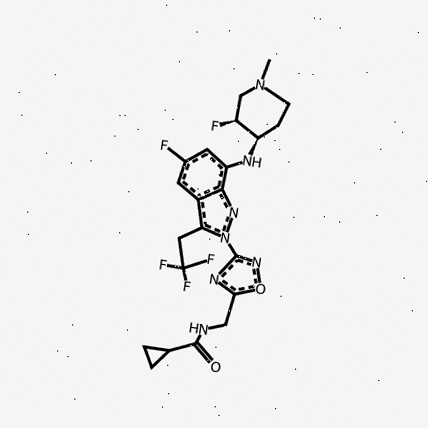 CN1CC[C@@H](Nc2cc(F)cc3c(CC(F)(F)F)n(-c4noc(CNC(=O)C5CC5)n4)nc23)[C@@H](F)C1